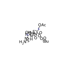 CC(=O)OC/C=C/C1=C(C(=O)OCOC(=O)C(C)(C)C)N2C(=O)C(NC(=O)/C(=N\O)c3csc(N)n3)[C@H]2SC1